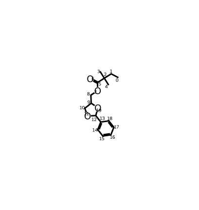 CCC(C)(C)C(=O)OCC1COC(c2ccccc2)O1